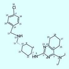 CN(C)c1nc(N[C@H]2CC[C@@H](CNCc3ccc(Cl)cc3)CC2)nc2c1CCCC2